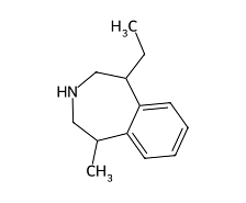 CCC1CNCC(C)c2ccccc21